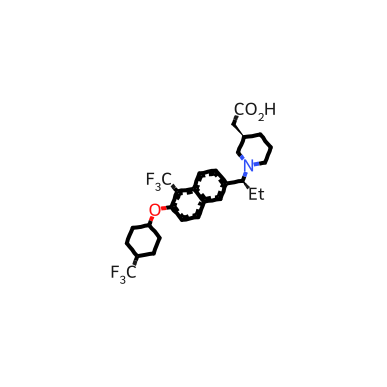 CC[C@@H](c1ccc2c(C(F)(F)F)c(OC3CCC(C(F)(F)F)CC3)ccc2c1)N1CCC[C@H](CC(=O)O)C1